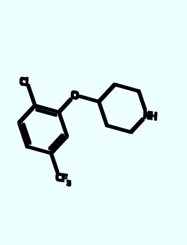 FC(F)(F)c1ccc(Cl)c(OC2CCNCC2)c1